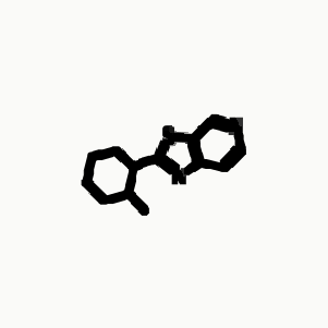 CC1CCCCC1c1nc2ccncc2s1